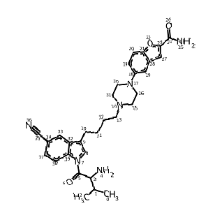 CC(C)C(N)C(=O)n1cc(CCCCN2CCN(c3ccc4oc(C(N)=O)cc4c3)CC2)c2cc(C#N)ccc21